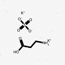 NCCC(=O)O.O=S(=O)([O-])[O-].[K+].[K+]